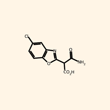 NC(=O)C(C(=O)O)c1nc2cc(Cl)ccc2o1